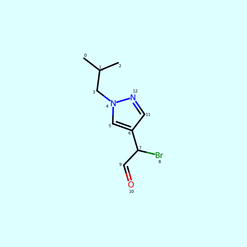 C[C](C)Cn1cc(C(Br)C=O)cn1